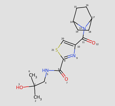 CC(C)(O)CNC(=O)c1nc(C(=O)N2C3CCC2CC3)cs1